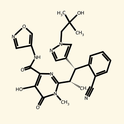 C[C@H](c1nc(C(=O)Nc2cnoc2)c(O)c(=O)n1C)[C@H](c1cnn(CC(C)(C)O)c1)c1ccccc1C#N